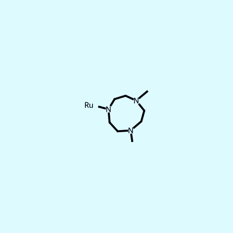 CN1CCN(C)CCN(C)CC1.[Ru]